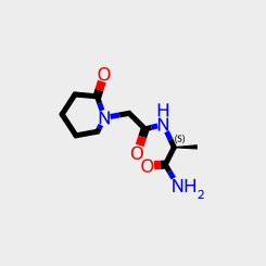 C[C@H](NC(=O)CN1CCCCC1=O)C(N)=O